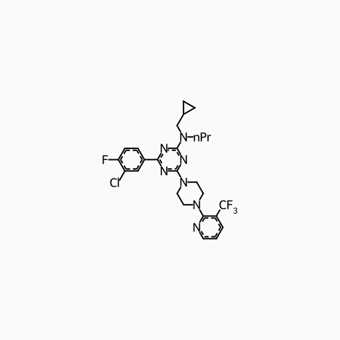 CCCN(CC1CC1)c1nc(-c2ccc(F)c(Cl)c2)nc(N2CCN(c3ncccc3C(F)(F)F)CC2)n1